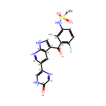 CCCS(=O)(=O)Nc1ccc(F)c(C(=O)c2c[nH]c3ncc(-c4c[nH]c(=O)cn4)cc23)c1F